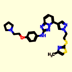 Cc1csc(SCCn2cc(-c3cccc4nc(Nc5ccc(OCCN6CCCC6)cc5)nn34)cn2)n1